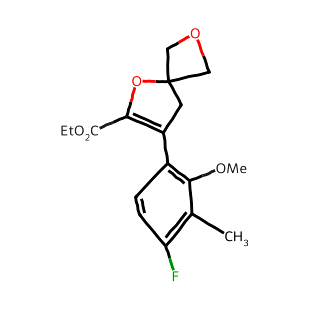 CCOC(=O)C1=C(c2ccc(F)c(C)c2OC)CC2(COC2)O1